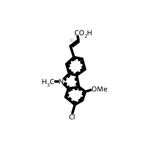 COc1cc(Cl)cc2c1c1ccc(/C=C/C(=O)O)cc1n2C